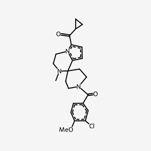 COc1ccc(C(=O)N2CCC3(CC2)c2ccc(C(=O)C4CC4)n2CCN3C)cc1Cl